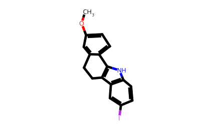 COc1ccc2c(c1)CCc1c-2[nH]c2ccc(I)cc12